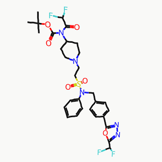 CC(C)(C)OC(=O)N(C(=O)C(F)F)C1CCN(CCS(=O)(=O)N(Cc2ccc(-c3nnc(C(F)F)o3)cc2)c2ccccc2)CC1